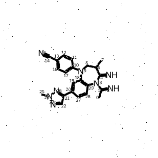 CC(=N)N1C(=N)C(C)CN(c2ccc(C#N)cc2)c2cc(-c3cnn(C)n3)ccc21